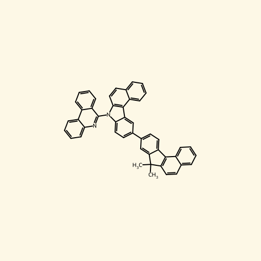 CC1(C)c2cc(-c3ccc4c(c3)c3c5ccccc5ccc3n4-c3nc4ccccc4c4ccccc34)ccc2-c2c1ccc1ccccc21